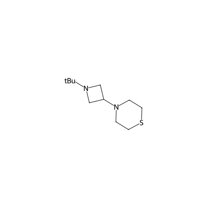 CC(C)(C)N1CC(N2CCSCC2)C1